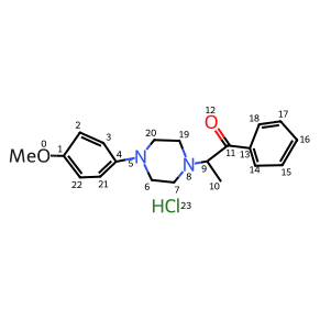 COc1ccc(N2CCN(C(C)C(=O)c3ccccc3)CC2)cc1.Cl